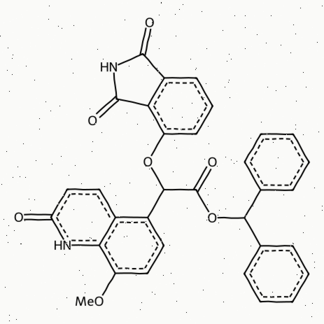 COc1ccc(C(Oc2cccc3c2C(=O)NC3=O)C(=O)OC(c2ccccc2)c2ccccc2)c2ccc(=O)[nH]c12